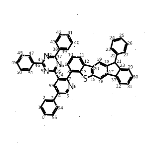 c1ccc(-c2cnc(-c3cccc4c3sc3cc5c(cc34)C(c3ccccc3)c3ccccc3-5)c(-c3nc(-c4ccccc4)nc(-c4ccccc4)n3)c2)cc1